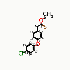 CCOC(=S)Cc1ccc(Oc2ccc(Cl)cc2)cc1